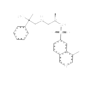 Cc1cncc2ccc(S(=O)(=O)N[C@H](C)CNCC(C)(O)c3ccccc3)cc12